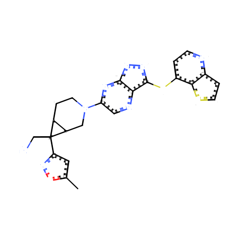 Cc1cc(C2(CN)C3CCN(c4cnc5c(Sc6ccnc7ccsc67)n[nH]c5n4)CC32)no1